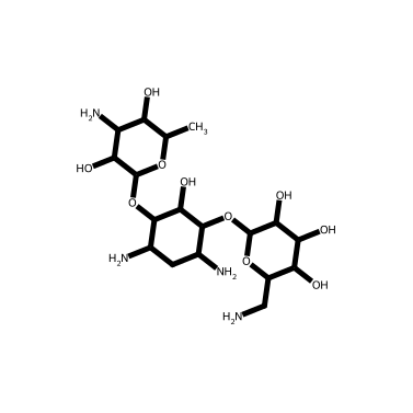 CC1OC(OC2C(N)CC(N)C(OC3OC(CN)C(O)C(O)C3O)C2O)C(O)C(N)C1O